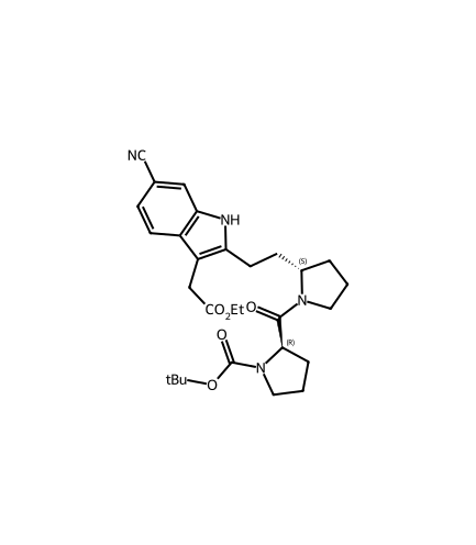 CCOC(=O)Cc1c(CC[C@@H]2CCCN2C(=O)[C@H]2CCCN2C(=O)OC(C)(C)C)[nH]c2cc(C#N)ccc12